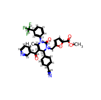 COC(=O)c1ccc(CN2C(=O)N(c3cccc(C(F)(F)F)c3)C(C)=C(C(=O)c3cccnc3)C2c2ccc(C#N)cc2)o1